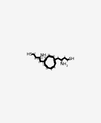 N[C@@H](CCS)Cc1cccccc(C[C@@H](N)CCS)ccc1